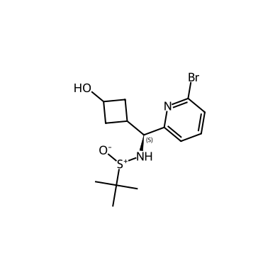 CC(C)(C)[S+]([O-])N[C@H](c1cccc(Br)n1)C1CC(O)C1